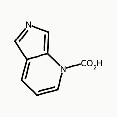 O=C(O)n1cccc2cncc1-2